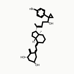 C=C1/C(=C\C=C2/CCC[C@]3(C)[C@@H](C(C)=CC[C@@H](O)C4(c5ccc(CCCC)cc5)CC4)CC[C@@H]23)C[C@@H](O)C[C@@H]1O